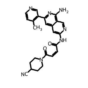 Cc1ccncc1-c1cc2cc(NC(=O)/C=C\C(=O)N3CCC(C#N)CC3)ncc2c(N)n1